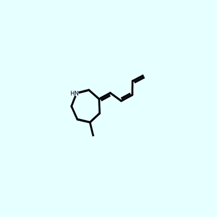 C=C/C=C\C=C1\CNCCC(C)C1